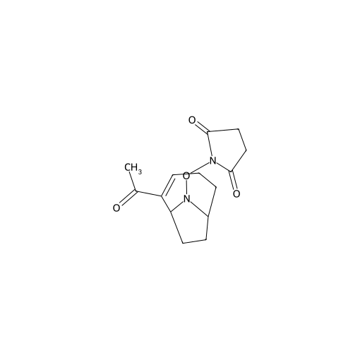 CC(=O)C1=CCCC2CCC1N2ON1C(=O)CCC1=O